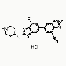 Cl.Cn1cc2cc(-c3cc(F)c4nc(OC5CCNCC5)sc4c3)cc(C#N)c2n1